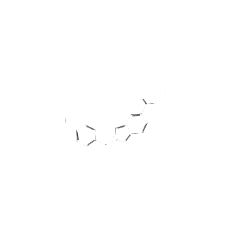 COC(=O)c1ccc2cn(Cc3ccc(OC)cc3)cc2c1